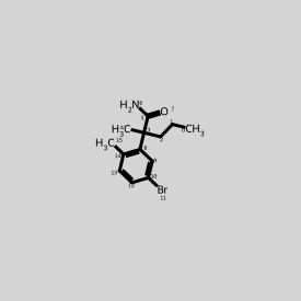 CCCC(C)(C(N)=O)c1cc(Br)ccc1C